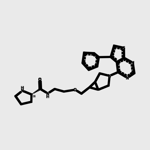 O=C(NCCOCC1C2CN(c3ncnc4scc(-c5ccccc5)c34)CC12)[C@@H]1CCCN1